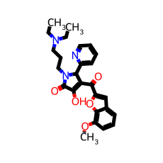 CCN(CC)CCCN1C(=O)C(O)=C(C(=O)c2cc3cccc(OC)c3o2)C1c1ccccn1